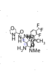 CNC(=O)/C(N)=C(/C=C(\N)NC(=O)C1COCCN1)C(=N)N[C@H](C)c1cccc(C(F)F)c1F